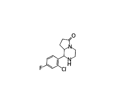 O=C1CCC2C(c3ccc(F)cc3Cl)NCCN12